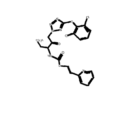 O=C(O)CC(NC(=O)OCCc1ccccn1)C(=O)Cn1nnc(Sc2c(Cl)cccc2Cl)n1